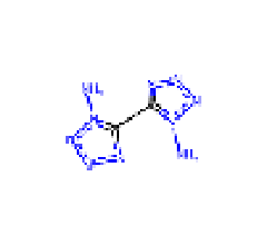 Nn1nnnc1-c1nnnn1N